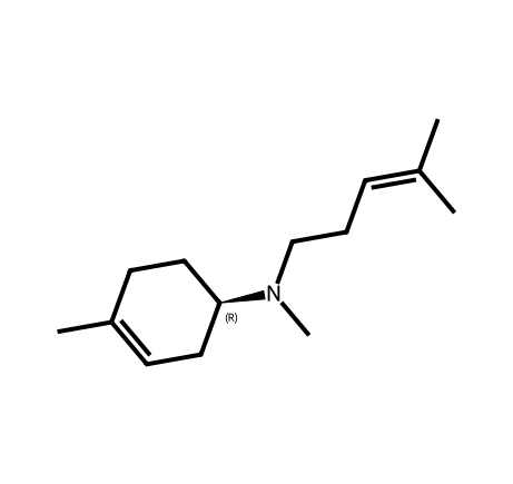 CC(C)=CCCN(C)[C@H]1CC=C(C)CC1